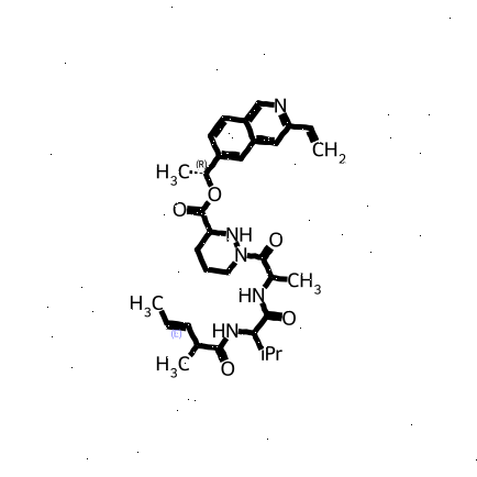 C=Cc1cc2cc([C@@H](C)OC(=O)C3CCCN(C(=O)C(C)NC(=O)C(NC(=O)C(C)/C=C/C)C(C)C)N3)ccc2cn1